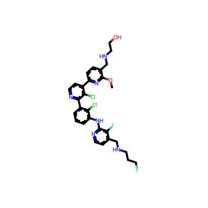 COc1nc(-c2ccnc(-c3cccc(Nc4nccc(CNCCCF)c4F)c3Cl)c2Cl)ccc1CNCCO